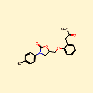 COC(=O)Cc1ccccc1OCC1CN(c2ccc(C#N)cc2)C(=O)O1